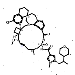 CO[C@H]1/C=C/C[C@H](C)C[S@@](=O)(NC(=O)c2cc(CC(C)C3CCOCC3)n(C)c2)=NC(=O)c2ccc3c(c2)N(C[C@@H]2CC[C@H]21)C[C@@]1(CCCc2cc(Cl)ccc21)CO3